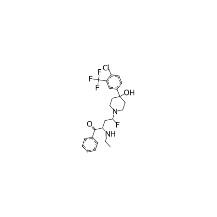 CCNC(CC(F)N1CCC(O)(c2ccc(Cl)c(C(F)(F)F)c2)CC1)C(=O)c1ccccc1